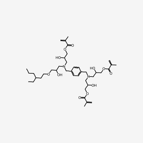 C=C(C)C(=O)OCC(O)CN(Cc1ccc(CN(CC(O)COC(=O)C(=C)C)CC(O)COC(=O)C(=C)C)cc1)CC(O)COCCC(CC)CCC